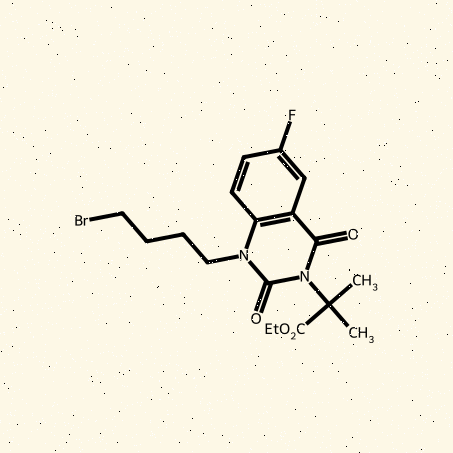 CCOC(=O)C(C)(C)n1c(=O)c2cc(F)ccc2n(CCCCBr)c1=O